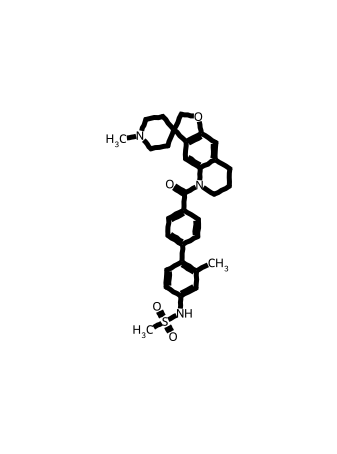 Cc1cc(NS(C)(=O)=O)ccc1-c1ccc(C(=O)N2CCCc3cc4c(cc32)C2(CCN(C)CC2)CO4)cc1